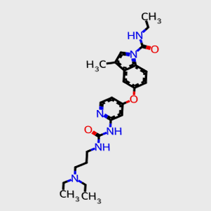 CCNC(=O)n1cc(C)c2cc(Oc3ccnc(NC(=O)NCCCN(CC)CC)c3)ccc21